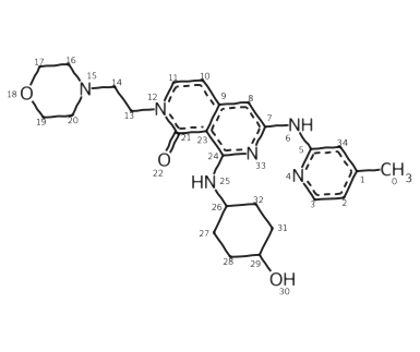 Cc1ccnc(Nc2cc3ccn(CCN4CCOCC4)c(=O)c3c(NC3CCC(O)CC3)n2)c1